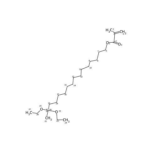 C=C(C)C(=O)OCCCCCCCCCCCCCC[Si](C)(OCC)OCC